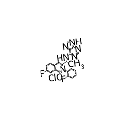 CC(Nc1ncnc2[nH]cnc12)c1cc2ccc(F)c(Cl)c2c(=O)n1-c1ccccc1F